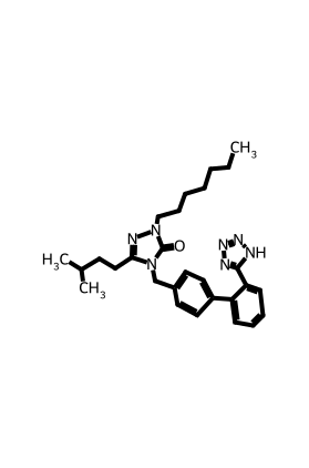 CCCCCCCn1nc(CCC(C)C)n(Cc2ccc(-c3ccccc3-c3nnn[nH]3)cc2)c1=O